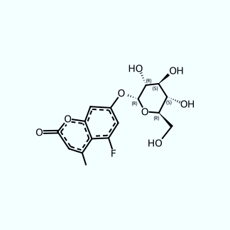 Cc1cc(=O)oc2cc(O[C@H]3O[C@H](CO)[C@@H](O)[C@H](O)[C@H]3O)cc(F)c12